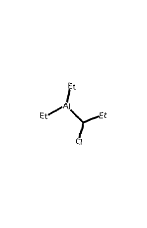 CC[CH](Cl)[Al]([CH2]C)[CH2]C